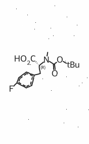 CN(C(=O)OC(C)(C)C)[C@H](Cc1ccc(F)cc1)C(=O)O